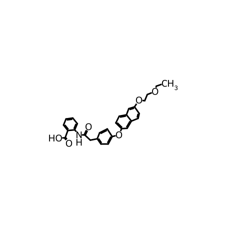 CCOCCOc1ccc2cc(Oc3ccc(CC(=O)Nc4ccccc4C(=O)O)cc3)ccc2c1